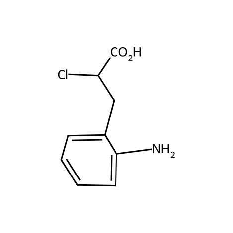 Nc1ccccc1CC(Cl)C(=O)O